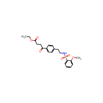 CCOC(=O)CCC(=O)c1ccc(CCNS(=O)(=O)c2ccccc2OC)cc1